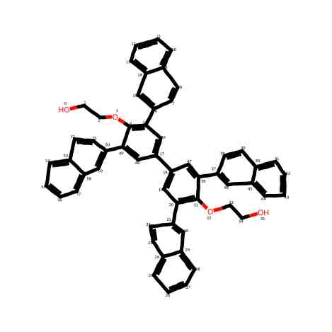 OCCOc1c(-c2ccc3ccccc3c2)cc(-c2cc(-c3ccc4ccccc4c3)c(OCCO)c(-c3ccc4ccccc4c3)c2)cc1-c1ccc2ccccc2c1